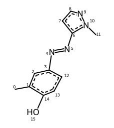 Cc1cc(/N=N/c2ccnn2C)ccc1O